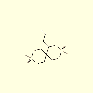 CCCC1OP(=O)(F)OCC12COP(=O)(F)OC2